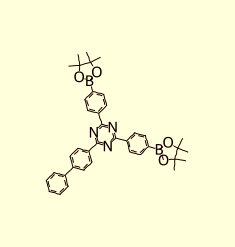 CC1(C)OB(c2ccc(-c3nc(-c4ccc(B5OC(C)(C)C(C)(C)O5)cc4)nc(-c4ccc(-c5ccccc5)cc4)n3)cc2)OC1(C)C